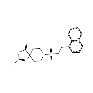 CC(C)(C)C1=NC2(CCN(S(=O)(=O)CCc3cccc4ccccc34)CC2)C(=O)N1